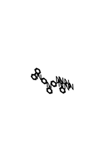 c1ccc(N(c2ccc(-c3nnc(-c4ncncn4)n3-c3ccccc3)cc2)c2ccc(-n3c4ccccc4c4ccccc43)cc2)cc1